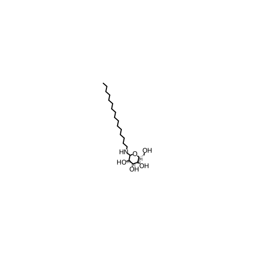 CCCCCCCCCCCCCCCCNC1O[C@H](CO)[C@@H](O)[C@H](O)[C@H]1O